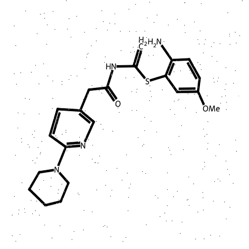 C=C(NC(=O)Cc1ccc(N2CCCCC2)nc1)Sc1cc(OC)ccc1N